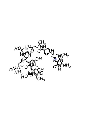 C=Nc1nc(N)[nH]c(=O)c1/N=C(\C)CNc1ccc(C(=O)N[C@H](C)CCC(=O)N[C@@H](CC(=O)O)C(=O)N[C@@H](CCCNC(=N)N)C(=O)N[C@@H](CC(=O)O)C(=O)N[C@@H](CC(=O)O)C(=O)N[C@H](CC)C(=O)O)cc1